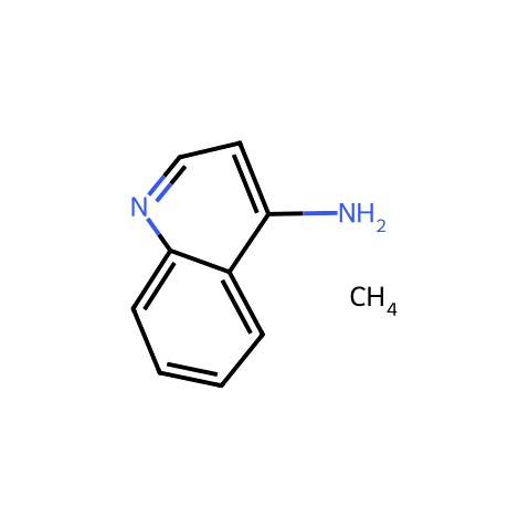 C.Nc1ccnc2ccccc12